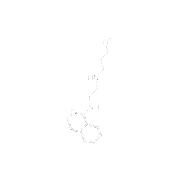 COCCCNCCNc1nccc2ccccc12